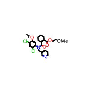 COCCOC(=O)C1=C(C(=O)N(Cc2cccnc2)c2cc(OC(C)C)c(Cl)cc2Cl)CCCC1